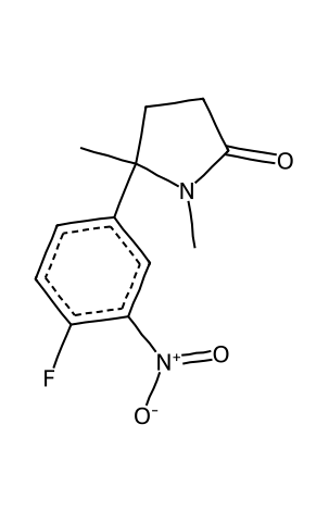 CN1C(=O)CCC1(C)c1ccc(F)c([N+](=O)[O-])c1